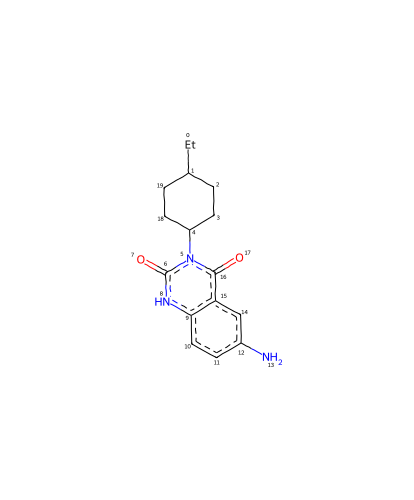 CCC1CCC(n2c(=O)[nH]c3ccc(N)cc3c2=O)CC1